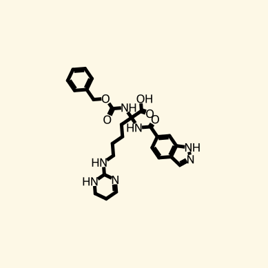 O=C(NC(CCCCNC1N=CCCN1)(NC(=O)c1ccc2cn[nH]c2c1)C(=O)O)OCc1ccccc1